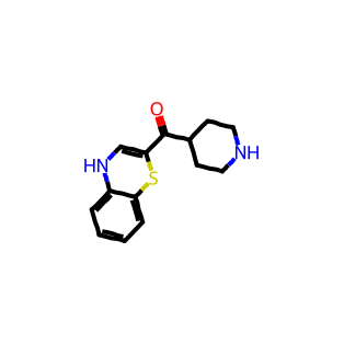 O=C(C1=CNc2ccccc2S1)C1CCNCC1